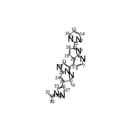 Cc1nn2c(-c3ccnc4nc(-c5ncccn5)ccc34)cnc2cc1-c1cnn(C(C)C)c1